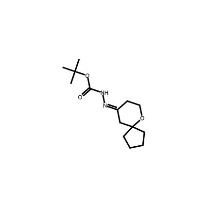 CC(C)(C)OC(=O)N/N=C1\CCOC2(CCCC2)C1